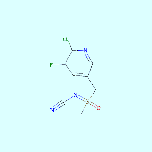 CS(=O)(CC1=CC(F)C(Cl)N=C1)=NC#N